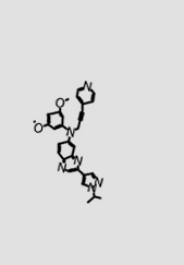 COc1cc(OC)cc(N(CC#Cc2ccncc2)c2ccc3ncc(-c4cnn(C(C)C)c4)nc3c2)c1